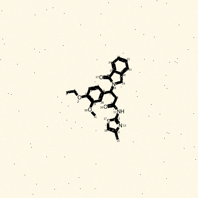 CCOc1ccc(C(CC(=O)Nc2nc(C)cs2)N2Cc3ccccc3C2=O)cc1OC